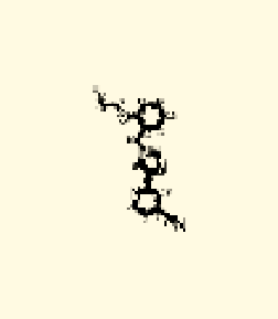 N#Cc1ccnc(-c2cn(Cc3ccccc3OCCF)cn2)c1